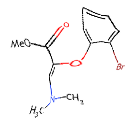 COC(=O)/C(=C/N(C)C)Oc1ccccc1Br